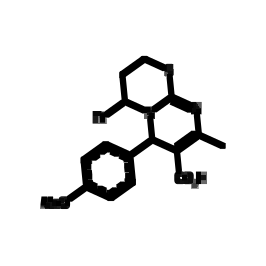 CCC1CCSC2=NC(C)=C(C(=O)O)C(c3ccc(OC)cc3)N21